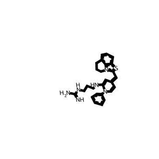 N=C(N)NCCCNC1=CC(=Cc2sc3cccc4c3[n+]2CCC4)C=CN1c1ccccc1